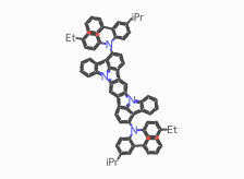 CCc1ccc(N(c2ccc(C(C)C)cc2-c2ccccc2)c2ccc3c4cc5c(cc4n4c6ccccc6c2c34)c2ccc(N(c3ccc(CC)cc3)c3ccc(C(C)C)cc3-c3ccccc3)c3c4ccccc4n5c23)cc1